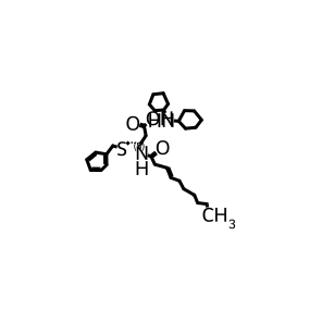 C1CCC(NC2CCCCC2)CC1.CCCCCCC=CCC(=O)N[C@H](CSCc1ccccc1)CC(=O)O